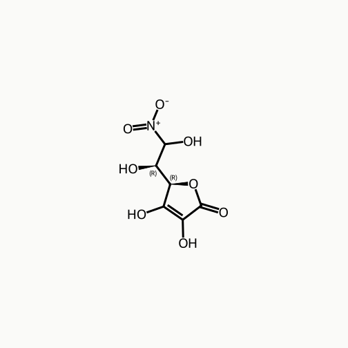 O=C1O[C@H]([C@@H](O)C(O)[N+](=O)[O-])C(O)=C1O